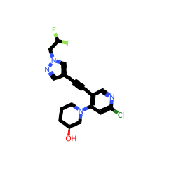 O[C@H]1CCCN(c2cc(Cl)ncc2C#Cc2cnn(CC(F)F)c2)C1